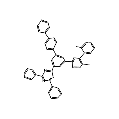 Cc1ccccc1-c1cc(-c2cc(-c3ccc(-c4ccccc4)cc3)cc(-c3nc(-c4ccccc4)nc(-c4ccccc4)n3)c2)ccc1C